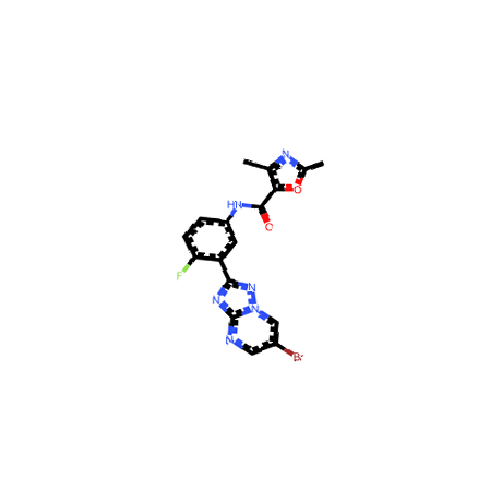 Cc1nc(C)c(C(=O)Nc2ccc(F)c(-c3nc4ncc(Br)cn4n3)c2)o1